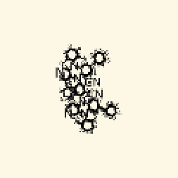 Cc1cccc(C)c1N1c2cnccc2N(c2c(C#N)c(C#N)c(N3c4ccncc4N(c4c(C)cccc4C)c4cc(-c5ccccc5)ccc43)c3c2C2(C)CCC3(C)C2)c2ccc(-c3ccccc3)cc21